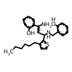 CCCCCCc1ccsc1C(/C=C(\N)c1ccccc1O)NCc1ccccc1O